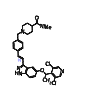 CNC(=O)C1CCN(Cc2ccc(/C=C/c3n[nH]c4ccc(OC(C)c5c(Cl)cncc5Cl)cc34)cc2)CC1